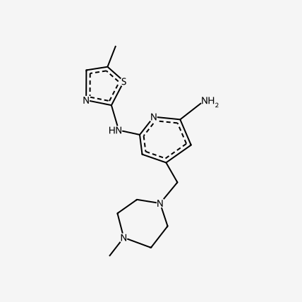 Cc1cnc(Nc2cc(CN3CCN(C)CC3)cc(N)n2)s1